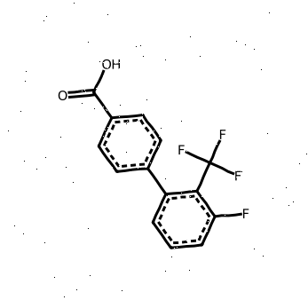 O=C(O)c1ccc(-c2cccc(F)c2C(F)(F)F)cc1